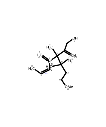 C=C(CO)C(C)([N+](=C)/C=C\C)C(C)(C)CCOC